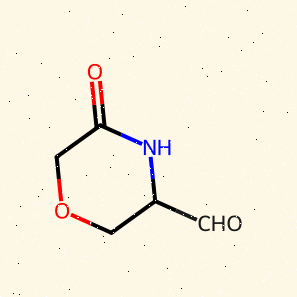 O=CC1COCC(=O)N1